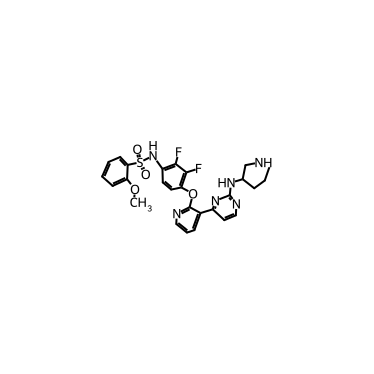 COc1ccccc1S(=O)(=O)Nc1ccc(Oc2ncccc2-c2ccnc(NC3CCCNC3)n2)c(F)c1F